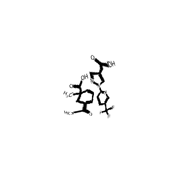 CC1(C(=O)O)C=CC=C(C(=O)O)C1.O=C(O)c1cnn(-c2ccc(C(F)(F)F)cn2)c1